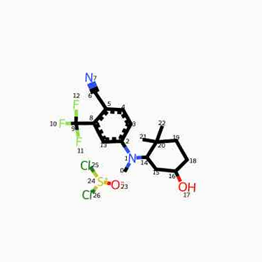 CN(c1ccc(C#N)c(C(F)(F)F)c1)C1CC(O)CCC1(C)C.[O-][S+](Cl)Cl